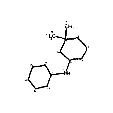 CC1(C)CCCC(NC2CCCCC2)C1